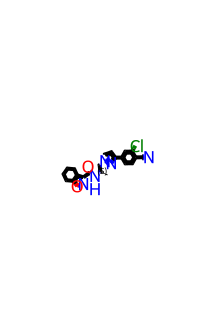 C[C@@H](Cn1ccc(-c2ccc(C#N)c(Cl)c2)n1)NC(=O)c1noc2c1CCCC2